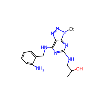 CCn1nnc2c(NCc3ccccc3N)nc(NCC(C)O)nc21